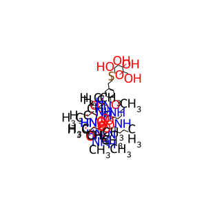 CCCCC(NC(=O)C(CCCC)NC(=O)C(CCCC)NC(=O)C(NC(=O)C(NC(=O)C(NC(=O)c1ccc(CCSC2OC(CO)C(O)C(O)C2O)cc1)C(C)C)C(C)C)C(C)C)C(=O)NC(CCC)C(=O)NC(CCCC)C(=O)NC(C(=O)C(C(=O)NCC)C(C)C)C(C)C